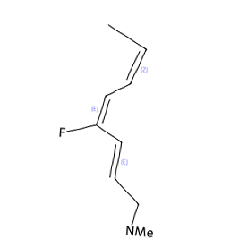 C\C=C/C=C(F)\C=C\CNC